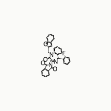 O=C1[C@H](N2C(=O)c3ccccc3C2=O)N=C(c2ccccc2F)c2ccccc2N1Cc1cc2ccccc2o1